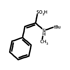 C[SiH](C(=Cc1ccccc1)S(=O)(=O)O)C(C)(C)C